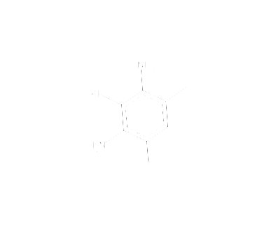 Cc1cc(Cl)c(N)c(Cl)c1N